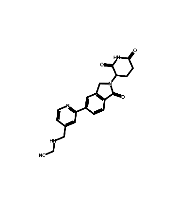 N#CCNCc1ccnc(-c2ccc3c(c2)CN(C2CCC(=O)NC2=O)C3=O)c1